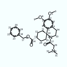 COc1cc2c(cc1OC)[C@]1(CC[C@@H](C(=O)OCc3ccccc3)CC1)N(C(=O)CN(C)C)CC2